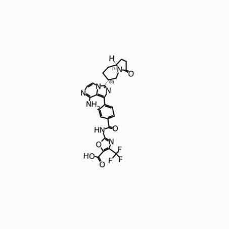 Nc1nccn2c([C@@H]3CC[C@H]4CCC(=O)N4C3)nc(-c3ccc(C(=O)Nc4nc(C(F)(F)F)c(C(=O)O)o4)cc3)c12